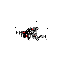 CO[C@@H](C)c1ncccc1-c1c(CC(C)(C)COC=O)c2cc(-c3csc(C[C@H](NC(=O)[C@H](C(C)C)N4CCC5(CN(C(=O)C#CCN)C5)C4=O)C(=O)N4CCCCN4)n3)ccc2n1C